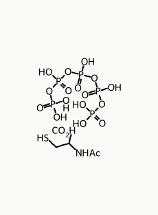 CC(=O)NC(CS)C(=O)O.O=P(O)(O)OP(=O)(O)OP(=O)(O)OP(=O)(O)OP(=O)(O)O